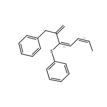 C=C(Cc1ccccc1)/C(=C\C=C/C)Sc1ccccc1